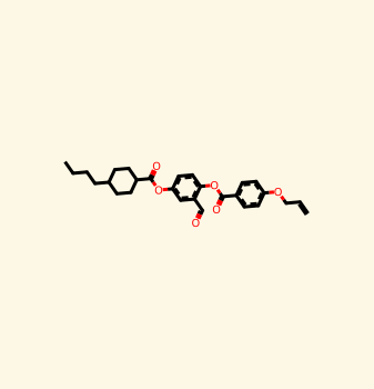 C=CCOc1ccc(C(=O)Oc2ccc(OC(=O)C3CCC(CCCC)CC3)cc2C=O)cc1